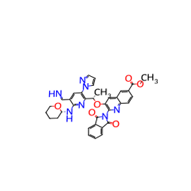 COC(=O)c1ccc2nc(N3C(=O)c4ccccc4C3=O)c(O[C@@H](C)c3nc(N[C@@H]4CCCCO4)c(C=N)cc3-n3cccn3)cc2c1